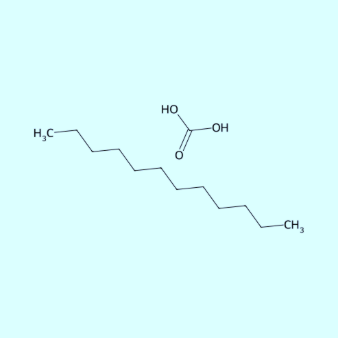 CCCCCCCCCCCC.O=C(O)O